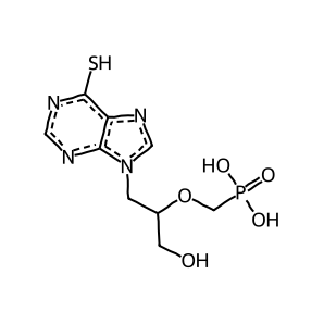 O=P(O)(O)COC(CO)Cn1cnc2c(S)ncnc21